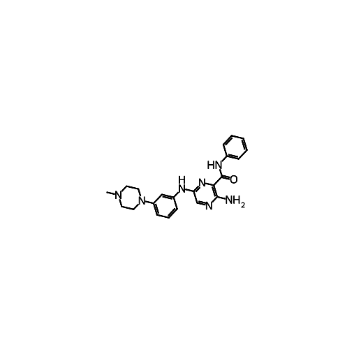 CN1CCN(c2cccc(Nc3cnc(N)c(C(=O)Nc4ccccc4)n3)c2)CC1